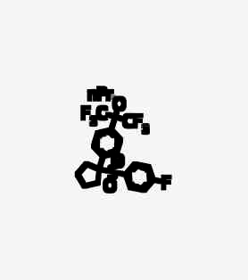 CCCOC(c1ccc(C2(S(=O)(=O)c3ccc(F)cc3)CCCC2)cc1)(C(F)(F)F)C(F)(F)F